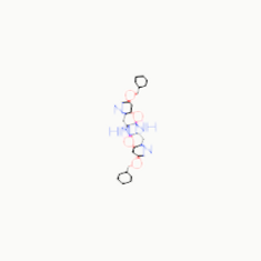 O=C1NC(Cc2ccc(OCc3ccccc3)cn2)C(=O)NC1Cc1ccc(OCc2ccccc2)cn1